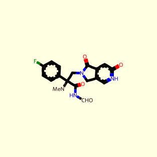 CNC(CN1Cc2c[nH]c(=O)cc2C1=O)(C(=O)NC=O)c1ccc(F)cc1